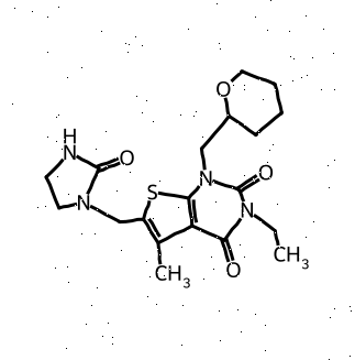 CCn1c(=O)c2c(C)c(CN3CCNC3=O)sc2n(CC2CCCCO2)c1=O